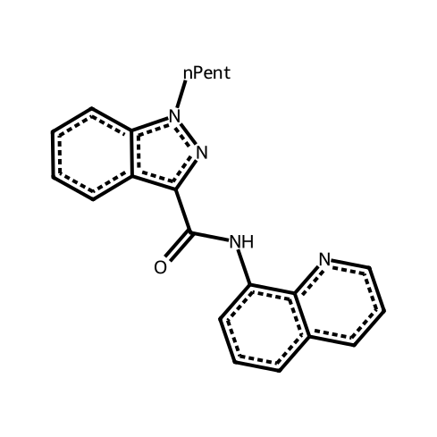 CCCCCn1nc(C(=O)Nc2cccc3cccnc23)c2ccccc21